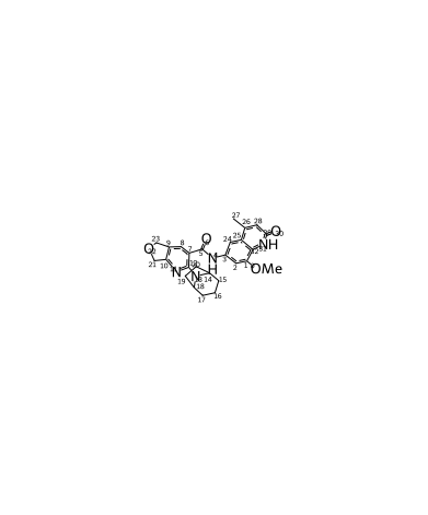 COc1cc(NC(=O)c2cc3c(nc2N2C4CCCC2CC4)COC3)cc2c(C)cc(=O)[nH]c12